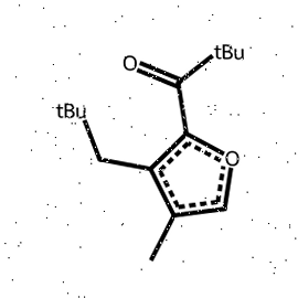 Cc1coc(C(=O)C(C)(C)C)c1CC(C)(C)C